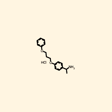 CC(N)c1ccc(OCCCOc2ccccc2)cc1.Cl